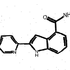 NC(=O)c1cccc2[nH]c(-c3ccccn3)cc12